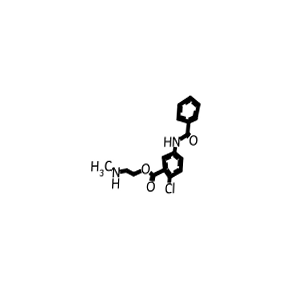 CNCCOC(=O)c1cc(NC(=O)c2ccccc2)ccc1Cl